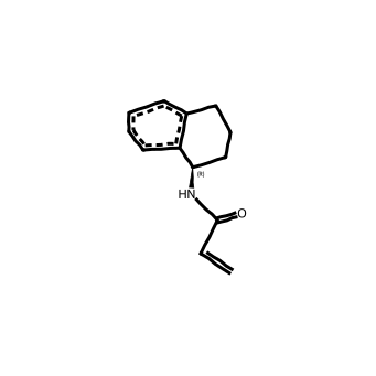 C=CC(=O)N[C@@H]1CCCc2ccccc21